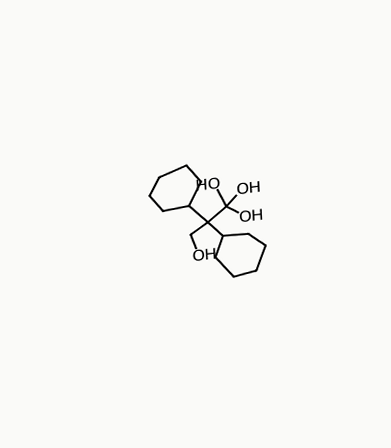 OCC(C1CCCCC1)(C1CCCCC1)C(O)(O)O